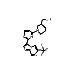 OCC1CCCN(c2ccnc(-c3cnc4cnc(C(F)(F)F)cn34)n2)C1